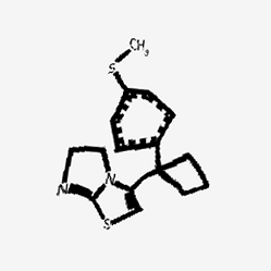 CSc1ccc(C2(C3=CSC4=NCCN34)CCC2)cc1